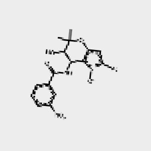 CC(=O)c1cc2c([s+]1[O-])C(NC(=O)c1cccc([N+](=O)[O-])c1)C(O)C(C)(C)O2